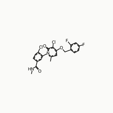 CNC(=O)c1ccc(Cl)c(-n2c(C)cc(OCc3ccc(F)cc3F)c(Cl)c2=O)c1